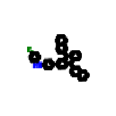 Fc1ccc(Nc2ccc(-c3ccc4c(-c5ccc6ccccc6c5)c5ccccc5c(-c5ccc6ccccc6c5)c4c3)cc2)cc1